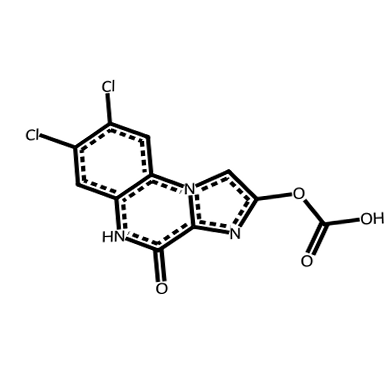 O=C(O)Oc1cn2c(n1)c(=O)[nH]c1cc(Cl)c(Cl)cc12